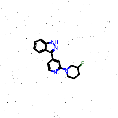 FC1CCCN(c2cc(-c3n[nH]c4ccccc34)ccn2)C1